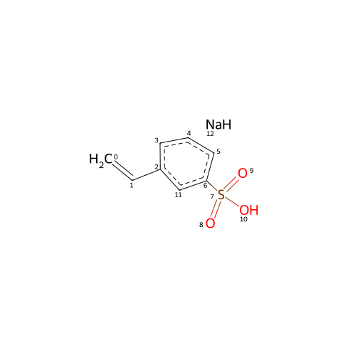 C=Cc1cccc(S(=O)(=O)O)c1.[NaH]